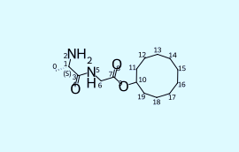 C[C@H](N)C(=O)NCC(=O)OC1CCCCCCCCC1